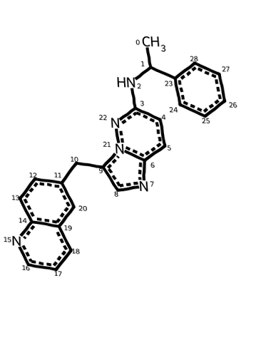 CC(Nc1ccc2ncc(Cc3ccc4ncccc4c3)n2n1)c1ccccc1